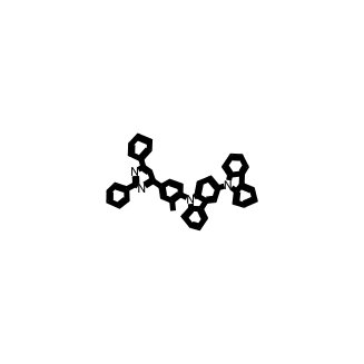 Cc1cc(-c2cc(-c3ccccc3)nc(-c3ccccc3)n2)ccc1-n1c2ccccc2c2cc(-n3c4ccccc4c4ccccc43)ccc21